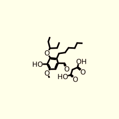 CCCCCCc1c(C=O)cc(OC)c(O)c1OC(CC)CC.O=C(O)CC(=O)O